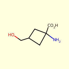 NC1(C(=O)O)CC(CO)C1